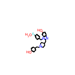 O.Oc1ccc(CCN2CCC(Cc3nc4ccc(O)cc4n3Cc3ccc(F)cc3)CC2)cc1